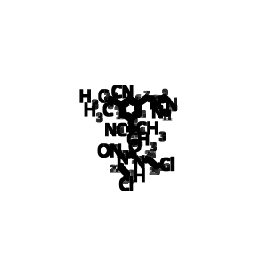 CC(C)(C#N)c1cc(Cn2cncn2)cc(C(C)(C)C#N)c1.O=NN(CCCl)C(=O)NCCCl